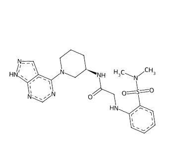 CN(C)S(=O)(=O)c1ccccc1NCC(=O)N[C@@H]1CCCN(c2ncnc3[nH]ncc23)C1